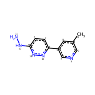 Cc1cncc(-c2ccc(NN)nn2)c1